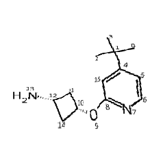 CC(C)(C)c1ccnc(O[C@H]2C[C@@H](N)C2)c1